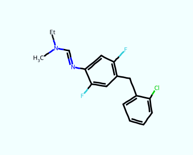 CCN(C)C=Nc1cc(F)c(Cc2ccccc2Cl)cc1F